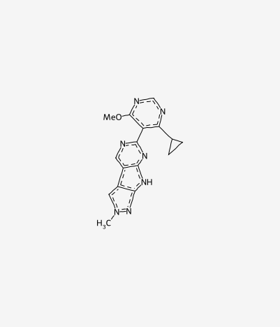 COc1ncnc(C2CC2)c1-c1ncc2c(n1)[nH]c1nn(C)cc12